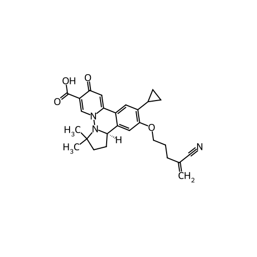 C=C(C#N)CCCOc1cc2c(cc1C1CC1)-c1cc(=O)c(C(=O)O)cn1N1[C@@H]2CCC1(C)C